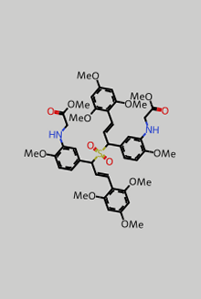 COC(=O)CNc1cc(C(C=Cc2c(OC)cc(OC)cc2OC)S(=O)(=O)C(C=Cc2c(OC)cc(OC)cc2OC)c2ccc(OC)c(NCC(=O)OC)c2)ccc1OC